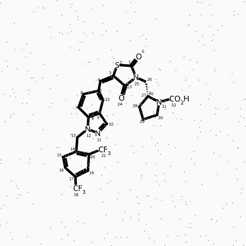 O=C1SC(=Cc2ccc3c(cnn3Cc3ccc(C(F)(F)F)cc3C(F)(F)F)c2)C(=O)N1C[C@H]1CCCN1C(=O)O